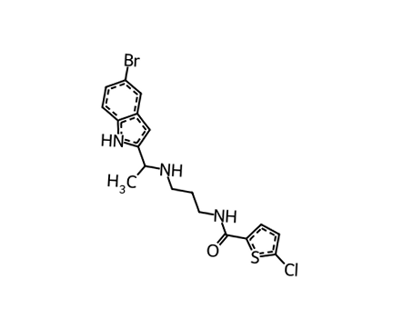 CC(NCCCNC(=O)c1ccc(Cl)s1)c1cc2cc(Br)ccc2[nH]1